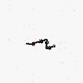 CCCCCCc1ccc(C#C/C=C/c2ccc(C#C/C=C\c3ccc(C#C/C=C\c4ccc(C#C[Si](C)(C)C)cn4)cn3)cn2)cn1